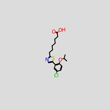 CC(C)Oc1ccc(Cl)cc1-c1cnc(CCCCCCC(=O)O)s1